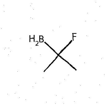 BC(C)(C)F